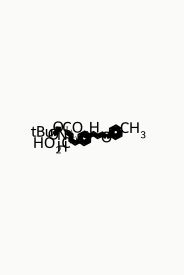 Cc1ccc(OCCCc2ccc(C[C@@H](C[C@H](NC(=O)OC(C)(C)C)C(=O)O)C(=O)O)cc2)cc1